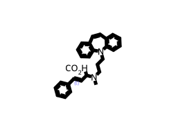 CN(CCCN1c2ccccc2C=Cc2ccccc21)C(/C=C/c1ccccc1)C(=O)O